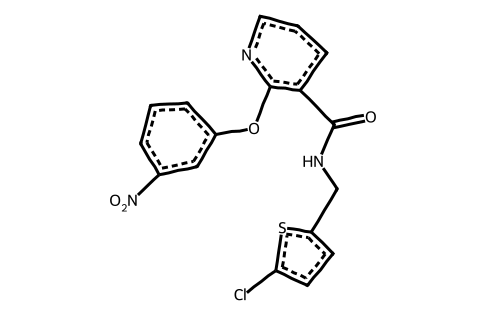 O=C(NCc1ccc(Cl)s1)c1cccnc1Oc1cccc([N+](=O)[O-])c1